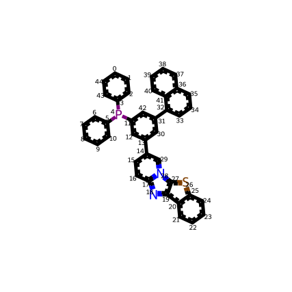 c1ccc(P(c2ccccc2)c2cc(-c3ccc4nc5c6ccccc6sc5n4c3)cc(-c3cccc4ccccc34)c2)cc1